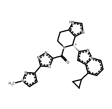 Cn1ccc(-c2nnc(C(=O)N3CCc4[nH]cnc4[C@@H]3c3cc4c(C5CC5)cccn4n3)o2)n1